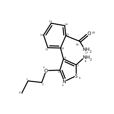 CCCOc1nsc(N)c1-c1ccccc1C(N)=O